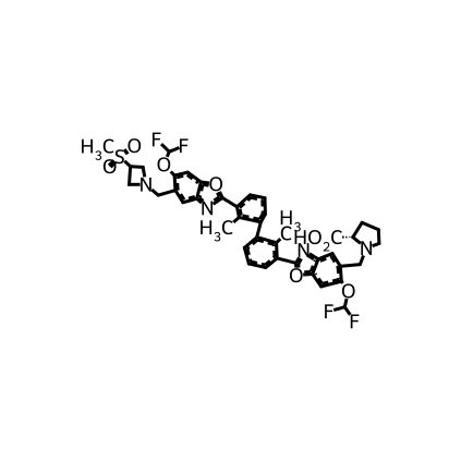 Cc1c(-c2nc3cc(CN4CC(S(C)(=O)=O)C4)c(OC(F)F)cc3o2)cccc1-c1cccc(-c2nc3cc(CN4CCC[C@H]4C(=O)O)c(OC(F)F)cc3o2)c1C